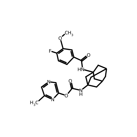 COc1cc(C(=O)NC23CC4CC(CC(NC(=O)Oc5cncc(C)n5)(C4)C2)C3)ccc1F